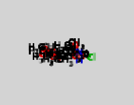 CC(C)C1=C2[C@H]3CC[C@@H]4[C@@]5(C)CC[C@H](OC(=O)CC(C)(C)C(=O)OC(C)(C)C)C(C)(C)[C@@H]5CC[C@@]4(C)[C@]3(C)CCC2(C(O)CNCc2ccc(Cl)cc2)CC1=O